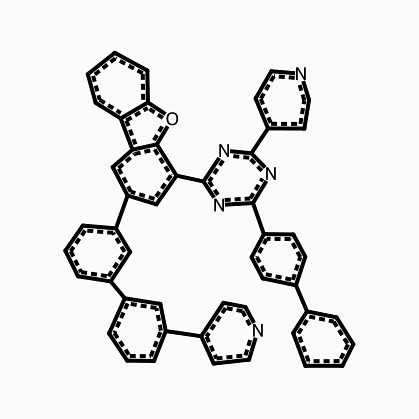 c1ccc(-c2ccc(-c3nc(-c4ccncc4)nc(-c4cc(-c5cccc(-c6cccc(-c7ccncc7)c6)c5)cc5c4oc4ccccc45)n3)cc2)cc1